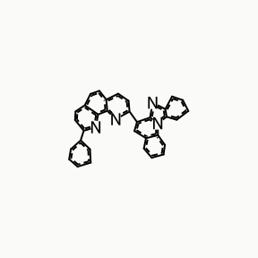 c1ccc(-c2ccc3ccc4ccc(-c5cc6ccccc6n6c5nc5ccccc56)nc4c3n2)cc1